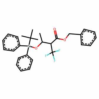 CC(O[Si](c1ccccc1)(c1ccccc1)C(C)(C)C)C(C(=O)OCc1ccccc1)C(F)(F)F